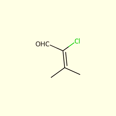 CC(C)=C(Cl)C=O